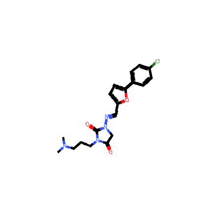 CN(C)CCCN1C(=O)CN(N=Cc2ccc(-c3ccc(Cl)cc3)o2)C1=O